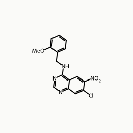 COc1ccccc1CNc1ncnc2cc(Cl)c([N+](=O)[O-])cc12